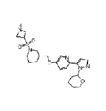 O=S(=O)(C1CNC1)N1CCC[C@@H](COc2ccc(-c3ccnn3C3CCCCO3)nc2)C1